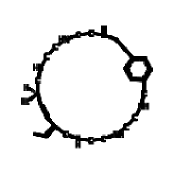 C/C=C1\C=C/[C@@H](CC)CNCCNCCNCc2ccc(cc2)CNCCNCCNC1